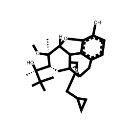 CO[C@]1(C)[C@@H]([C@](C)(O)C(C)(C)C)C[C@]2(C)C3Cc4ccc(O)c5c4[C@@]2(CCN3CC2CC2)[C@H]1O5